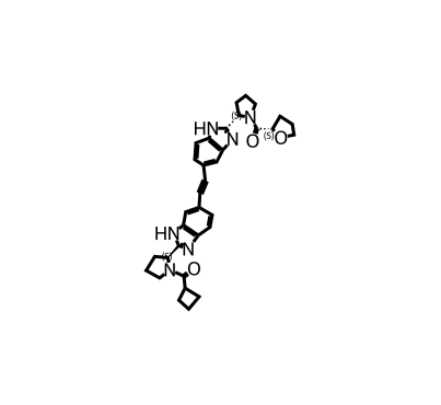 O=C(C1CCC1)N1CCC[C@H]1c1nc2ccc(C#Cc3ccc4[nH]c([C@@H]5CCCN5C(=O)[C@@H]5CCCO5)nc4c3)cc2[nH]1